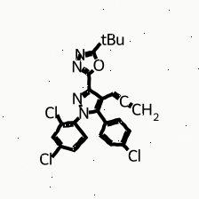 C=C=Cc1c(-c2nnc(C(C)(C)C)o2)nn(-c2ccc(Cl)cc2Cl)c1-c1ccc(Cl)cc1